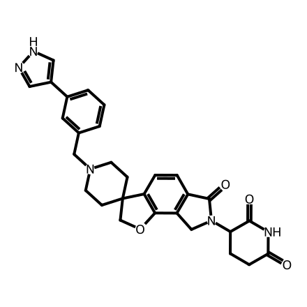 O=C1CCC(N2Cc3c(ccc4c3OCC43CCN(Cc4cccc(-c5cn[nH]c5)c4)CC3)C2=O)C(=O)N1